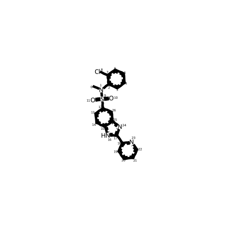 CN(c1ccccc1Cl)S(=O)(=O)c1ccc2[nH]c(-c3ccccn3)nc2c1